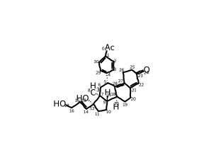 CC(=O)c1ccc([C@H]2C[C@@]3(C)[C@@H](CC[C@@]3(O)C=CCO)[C@@H]3CCC4=CC(=O)CCC4=C32)cc1